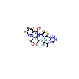 CC(n1cnnc1-c1nc(N(C(=O)c2ccccn2)N2CCOCC2)cs1)C(F)(F)F